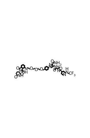 NC(=O)c1nn(-c2ccc(COCCOCCOCCNc3cccc4c3C(=O)N(C3CCC(=O)NC3=O)C4=O)cc2)cc1NC(=O)c1coc(-c2ccnc(NCC(F)(F)F)c2)n1